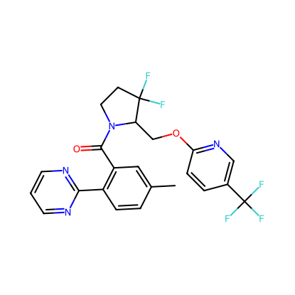 Cc1ccc(-c2ncccn2)c(C(=O)N2CCC(F)(F)C2COc2ccc(C(F)(F)F)cn2)c1